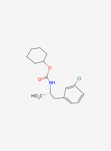 O=C(N[C@H](Cc1cccc(Cl)c1)C(=O)O)OC1CCCCC1